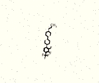 CCC[C@H]1CC[C@H]([C@H]2CC[C@H](c3ccc(C(F)(F)F)c(F)c3F)CC2)CC1